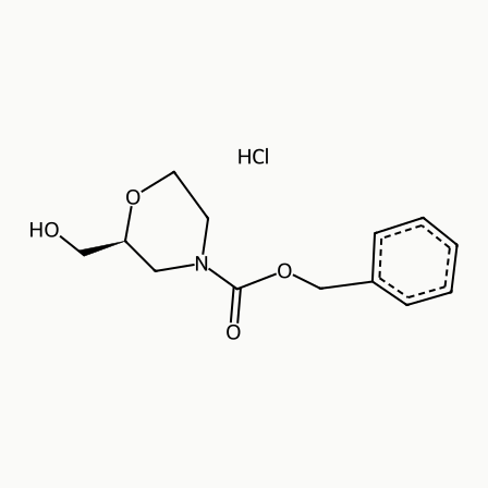 Cl.O=C(OCc1ccccc1)N1CCO[C@H](CO)C1